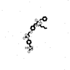 CCCCC(=O)NC(Cc1ccc(OCC2CN(c3ccc(-c4noc(=O)[nH]4)cc3)C(=O)O2)cc1)C(=O)OCc1ccccc1